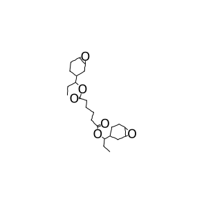 CCC(OC(=O)CCCCC(=O)OC(CC)C1CCC2OC2C1)C1CCC2OC2C1